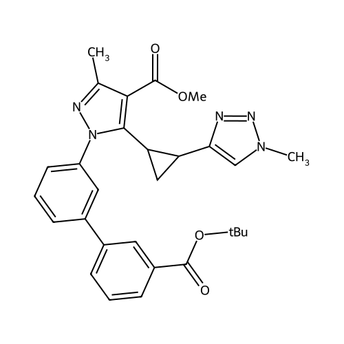 COC(=O)c1c(C)nn(-c2cccc(-c3cccc(C(=O)OC(C)(C)C)c3)c2)c1C1CC1c1cn(C)nn1